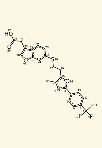 Cc1nc(-c2ccc(C(F)(F)F)cc2)oc1CCSc1ccc2c(CC(=O)O)coc2c1